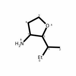 CCC(C)C1OCCC1N